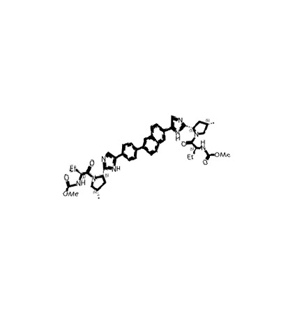 CC[C@H](NC(=O)OC)C(=O)N1C[C@@H](C)C[C@H]1c1ncc(-c2ccc(-c3ccc4cc(-c5cnc([C@@H]6C[C@H](C)CN6C(=O)[C@H](CC)NC(=O)OC)[nH]5)ccc4c3)cc2)[nH]1